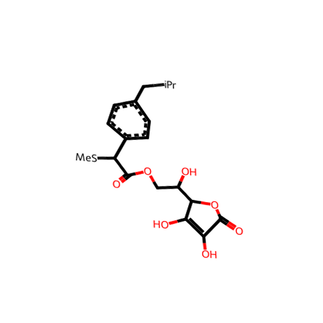 CSC(C(=O)OCC(O)C1OC(=O)C(O)=C1O)c1ccc(CC(C)C)cc1